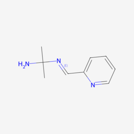 CC(C)(N)/N=C/c1ccccn1